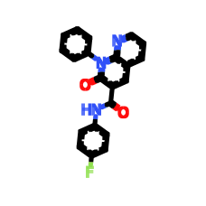 O=C(Nc1ccc(F)cc1)c1cc2cccnc2n(-c2ccccc2)c1=O